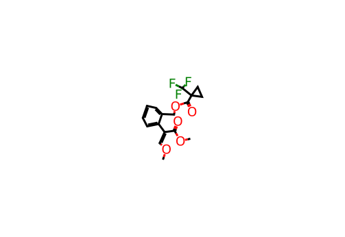 COC=C(C(=O)OC)c1ccccc1COC(=O)C1(C(F)(F)F)CC1